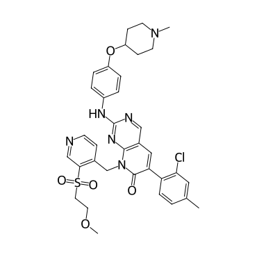 COCCS(=O)(=O)c1cnccc1Cn1c(=O)c(-c2ccc(C)cc2Cl)cc2cnc(Nc3ccc(OC4CCN(C)CC4)cc3)nc21